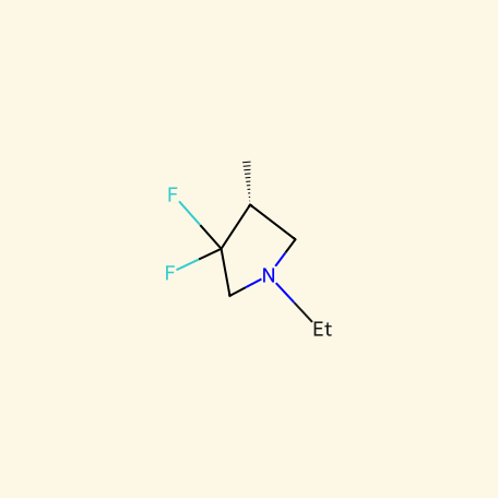 CCN1C[C@@H](C)C(F)(F)C1